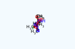 Cc1cc(-n2nc3c(c2-n2ccn(-c4ccc5c(cnn5C)c4)c2=O)[C@H](C)N(C(=O)c2cc4cc(C5CCOC(C)(C)C5)ccc4n2[C@@]2(c4noc(=O)[nH]4)C[C@@H]2C)CC3)ccc1F